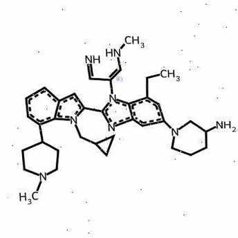 CCc1cc(N2CCCC(N)C2)cc2nc(-c3cc4cccc(C5CCN(C)CC5)c4n3CC3CC3)n(/C(C=N)=C/NC)c12